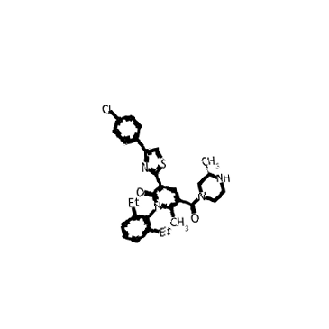 CCc1cccc(CC)c1-n1c(C)c(C(=O)N2CCN[C@@H](C)C2)cc(-c2nc(-c3ccc(Cl)cc3)cs2)c1=O